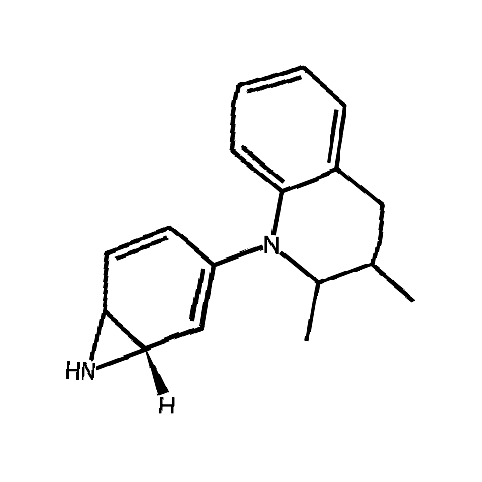 CC1Cc2ccccc2N(C2=C[C@@H]3NC3C=C2)C1C